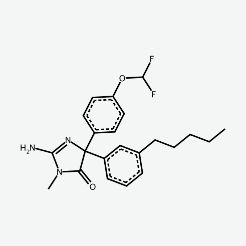 CCCCCc1cccc(C2(c3ccc(OC(F)F)cc3)N=C(N)N(C)C2=O)c1